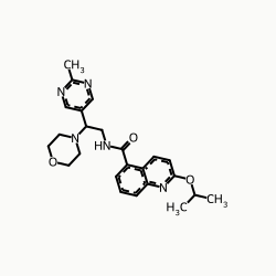 Cc1ncc(C(CNC(=O)c2cccc3nc(OC(C)C)ccc23)N2CCOCC2)cn1